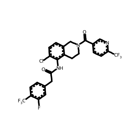 O=C(Cc1ccc(C(F)(F)F)c(F)c1)Nc1c(Cl)ccc2c1CCN(C(=O)c1ccc(C(F)(F)F)nc1)C2